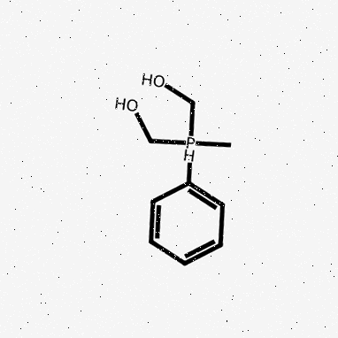 C[PH](CO)(CO)c1ccccc1